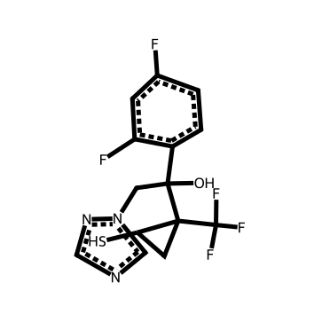 OC(Cn1cncn1)(c1ccc(F)cc1F)C1(C(F)(F)F)CC1S